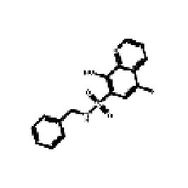 O=S(=O)(NCc1ccccc1)c1cc(F)c2cccnc2c1O